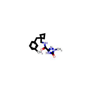 Cc1cccc(CC2(CNC(=O)c3nn(C)c(=O)[nH]3)CCC2)c1